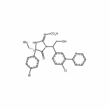 CC(C)(C)C[C@]1(c2ccc(Br)cc2)NC(=NC(=O)O)N(C(CO)c2ccc(Cl)c(-c3ccccn3)c2)C1=O